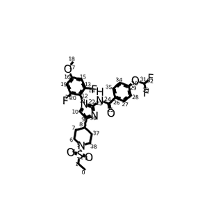 CCS(=O)(=O)N1CCC(c2cn(-c3c(F)cc(OC)cc3F)c(NC(=O)c3ccc(OC(F)F)cc3)n2)CC1